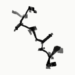 C[C@H](N)C(=O)NCC(=O)N[C@@H](C)C=O